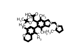 Cc1c(-c2c(C)c3c(c(C)c2[C@H](OC(C)(C)C)C(=O)O)CN(CN2CCC[C@@H]2C)C3)cc(F)c2c1CCCO2